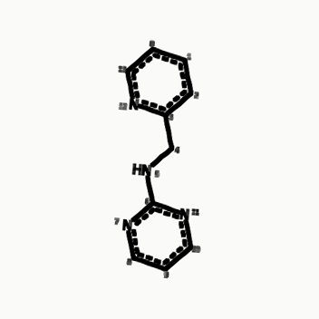 c1ccc(CNc2ncccn2)nc1